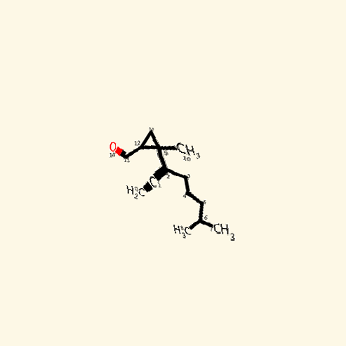 C=C=C(CCCC(C)C)C1(C)CC1C=O